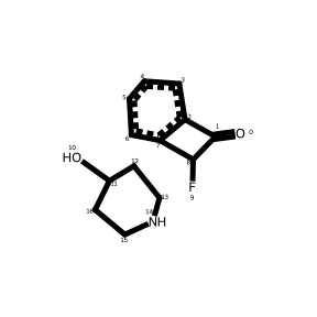 O=C1c2ccccc2C1F.OC1CCNCC1